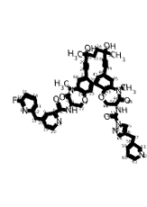 CN1C(=O)[C@H](NC(=O)c2cc(Cc3cccc(F)n3)ccn2)COc2ccc(C#CC(C)(O)CCC(C)(O)C#Cc3ccc4c(c3)N(C)C(=O)[C@H](NC(=O)n3cc(Cc5cccnc5)cn3)CO4)cc21